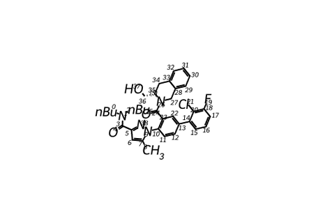 CCCCN(CCCC)C(=O)c1cc(C)n(-c2ccc(-c3cccc(F)c3Cl)cc2C(=O)N2Cc3ccccc3C[C@H]2CO)n1